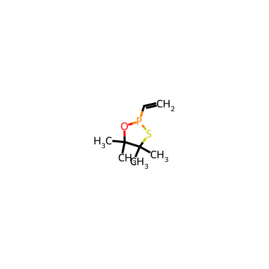 C=CP1OC(C)(C)C(C)(C)S1